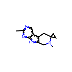 Cc1ncc2c3c([nH]c2n1)CN(C)C1(CC1)C3